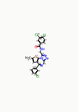 Cc1cc2c(s1)-n1c(nnc1CNC(=O)c1ccc(Cl)c(Cl)c1)CN=C2c1cccc(Cl)c1